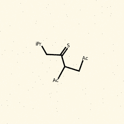 CC(=O)CC(C(C)=O)C(=S)CC(C)C